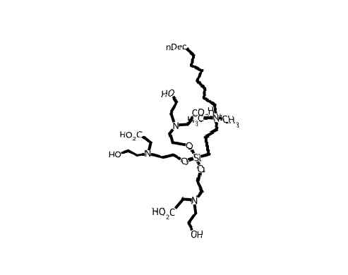 CCCCCCCCCCCCCCCCC[N+](C)(C)CCC[Si](OCCN(CCO)CC(=O)O)(OCCN(CCO)CC(=O)O)OCCN(CCO)CC(=O)O